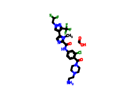 Cn1c(-c2cn(CC(F)F)nc2C(F)(F)F)cnc1C(=O)Nc1ccc(C(=O)N2CCN(CCN)CC2)c(Cl)c1.O=CO